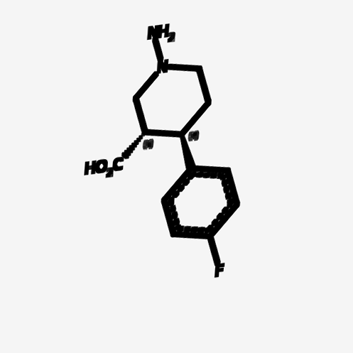 NN1CC[C@@H](c2ccc(F)cc2)[C@H](C(=O)O)C1